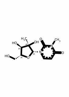 Cn1c(=O)ccn([C@@H]2O[C@H](CO)[C@@H](O)[C@@]2(C)O)c1=O